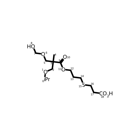 CC(C)OCC(C)(COCO)C(=O)OCCCSCCC(=O)O